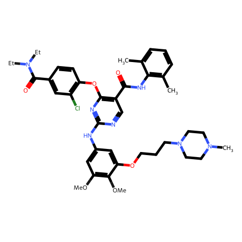 CCN(CC)C(=O)c1ccc(Oc2nc(Nc3cc(OC)c(OC)c(OCCCN4CCN(C)CC4)c3)ncc2C(=O)Nc2c(C)cccc2C)c(Cl)c1